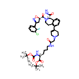 CC(C)(C)OC(=O)N[C@@H](CCCCNC(=O)CN1CC=C(c2cccc3c2CCN(C(=O)[C@H]2CC(c4cccc(Cl)c4F)=NO2)[C@@H]3C(N)=O)CC1)C(=O)OC(C)(C)C